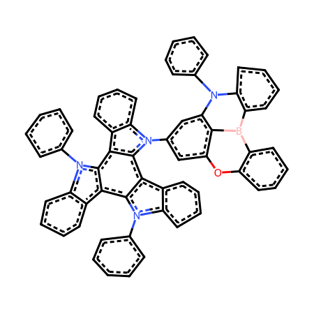 c1ccc(N2c3ccccc3B3c4ccccc4Oc4cc(-n5c6ccccc6c6c7c(c8ccccc8n7-c7ccccc7)c7c(c8ccccc8n7-c7ccccc7)c65)cc2c43)cc1